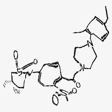 Cc1ccc(N2CCN(C(=O)c3ccc(N4C[C@H](C)CS4(=O)=O)cc3S(C)(=O)=O)CC2)c(C)c1